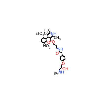 CCOC(=O)C1=C(C)NC(C)=C(C(=O)OCCCNC(=O)Cc2ccc(OCC(O)CNC(C)C)cc2)C1c1cccc([N+](=O)[O-])c1